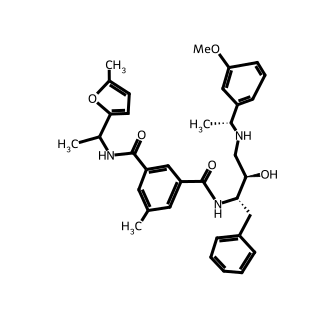 COc1cccc([C@@H](C)NC[C@@H](O)[C@H](Cc2ccccc2)NC(=O)c2cc(C)cc(C(=O)NC(C)c3ccc(C)o3)c2)c1